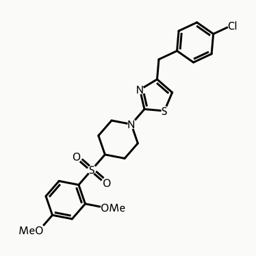 COc1ccc(S(=O)(=O)C2CCN(c3nc(Cc4ccc(Cl)cc4)cs3)CC2)c(OC)c1